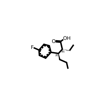 CCC[C@@H](c1ccc(F)cc1)[C@@H](CC)C(=O)O